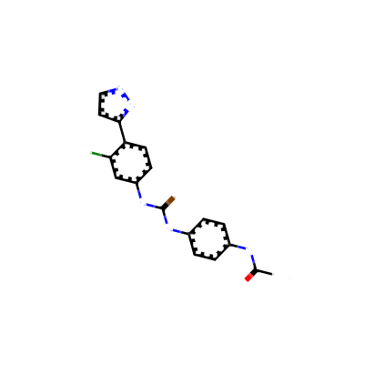 CC(=O)Nc1ccc(NC(=S)Nc2ccc(-c3cc[nH]n3)c(Cl)c2)cc1